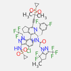 C[C@@H]1Cc2c(C(F)(F)F)nn(CC(=O)N[C@@H](Cc3cc(F)cc(F)c3)c3nc(C#CC(C)(C)S(=O)(=O)C4CC4)c4c(c3-c3ccc(Cl)c5c(NS(=O)(=O)C6CC6)nn(CC(F)(F)F)c35)CCC4)c2C1(F)F